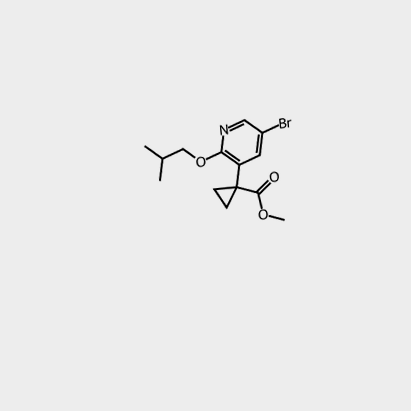 COC(=O)C1(c2cc(Br)cnc2OCC(C)C)CC1